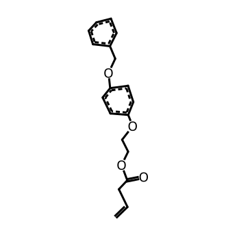 C=CCC(=O)OCCOc1ccc(OCc2ccccc2)cc1